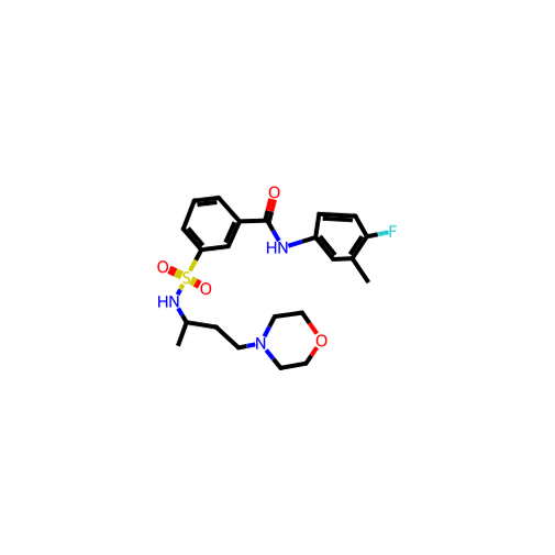 Cc1cc(NC(=O)c2cccc(S(=O)(=O)NC(C)CCN3CCOCC3)c2)ccc1F